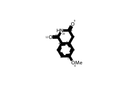 COc1ccc2c(c1)CC(=O)NC2=O